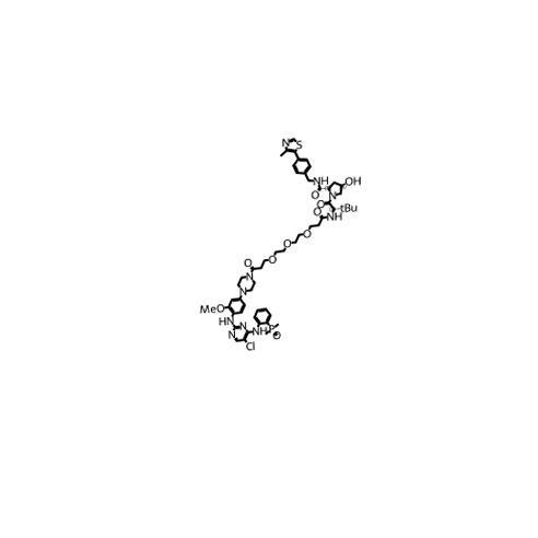 COc1cc(N2CCN(C(=O)CCOCCOCCOCCC(=O)N[C@H](C(=O)N3C[C@H](O)C[C@H]3C(=O)NCc3ccc(-c4scnc4C)cc3)C(C)(C)C)CC2)ccc1Nc1ncc(Cl)c(Nc2ccccc2P(C)(C)=O)n1